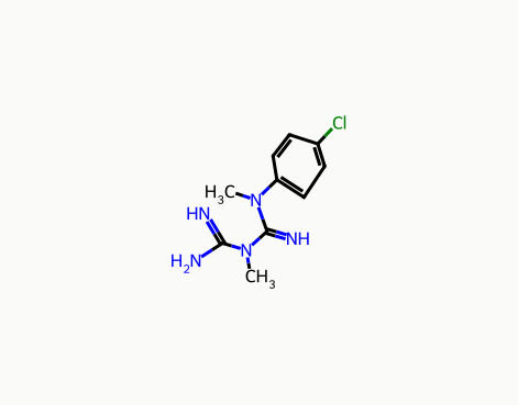 CN(C(=N)N)C(=N)N(C)c1ccc(Cl)cc1